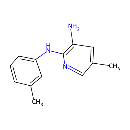 Cc1cccc(Nc2ncc(C)cc2N)c1